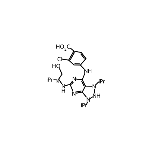 CC(C)[C@H](CO)Nc1nc(Nc2ccc(C(=O)O)c(Cl)c2)c2c(n1)N(C(C)C)NN2C(C)C